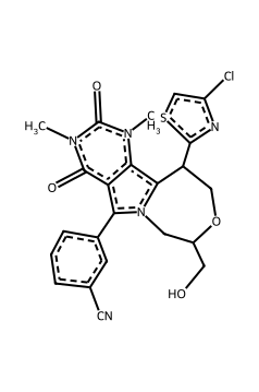 Cn1c(=O)c2c(-c3cccc(C#N)c3)n3c(c2n(C)c1=O)C(c1nc(Cl)cs1)COC(CO)C3